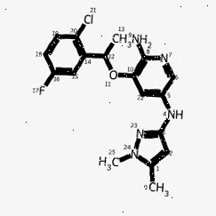 Cc1cc(Nc2cnc(N)c(OC(C)c3cc(F)ccc3Cl)c2)nn1C